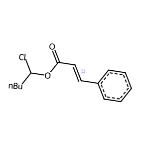 CCCCC(Cl)OC(=O)/C=C/c1ccccc1